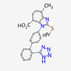 CCCSc1nc2c(C)ccc(C(=O)O)c2n1-c1ccc(-c2ccccc2-c2nnn[nH]2)cc1